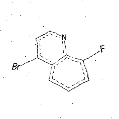 Fc1cccc2c(Br)ccnc12